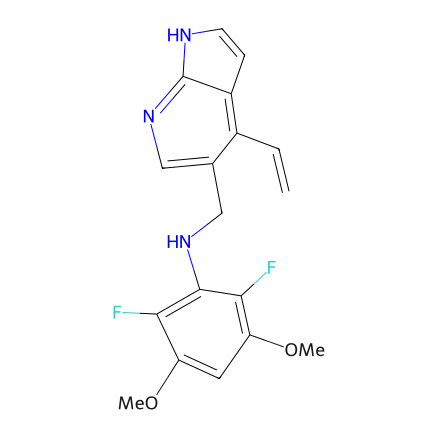 C=Cc1c(CNc2c(F)c(OC)cc(OC)c2F)cnc2[nH]ccc12